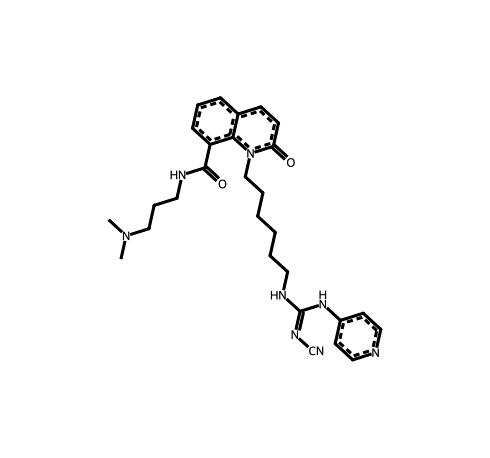 CN(C)CCCNC(=O)c1cccc2ccc(=O)n(CCCCCCNC(=NC#N)Nc3ccncc3)c12